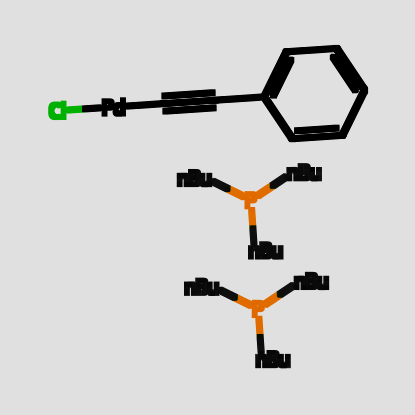 CCCCP(CCCC)CCCC.CCCCP(CCCC)CCCC.[Cl][Pd][C]#Cc1ccccc1